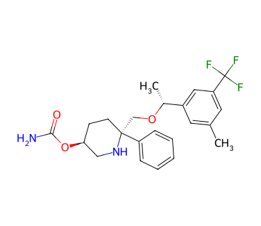 Cc1cc([C@@H](C)OC[C@@]2(c3ccccc3)CC[C@H](OC(N)=O)CN2)cc(C(F)(F)F)c1